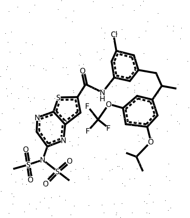 CC(C)Oc1cc(OC(F)(F)F)cc(C(C)Cc2cc(Cl)cc(NC(=O)c3cc4nc(N(S(C)(=O)=O)S(C)(=O)=O)cnc4s3)c2)c1